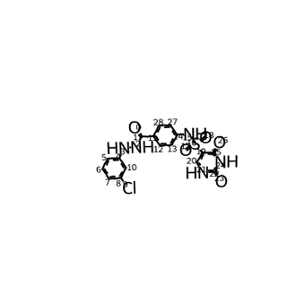 O=C(NNc1cccc(Cl)c1)c1ccc(NS(=O)(=O)c2c[nH]c(=O)[nH]c2=O)cc1